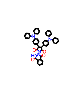 O=C1C(c2ccc(N(c3ccccc3)c3ccccc3)cc2)=C(c2ccc(N(c3ccccc3)c3ccccc3)cc2)C(=O)N1n1[nH]c(=O)c2ccccc2c1=O